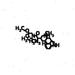 CCOC(=O)CN(C(=O)C(N)C1C[C@@H]2c3cccc4[nH]cc(c34)C[C@H]2N(C)C1)C(C)C